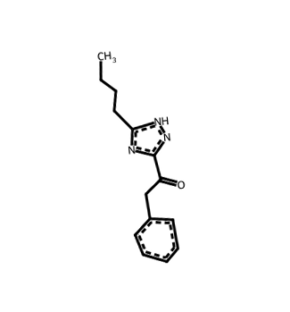 CCCCc1nc(C(=O)Cc2ccccc2)n[nH]1